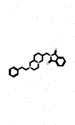 O=C1c2ccccc2C(=O)N1CC1CCC2CN(CCc3ccccc3)CCN2C1